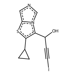 OC(C#CI)c1c(C2CC2)sc2cncn12